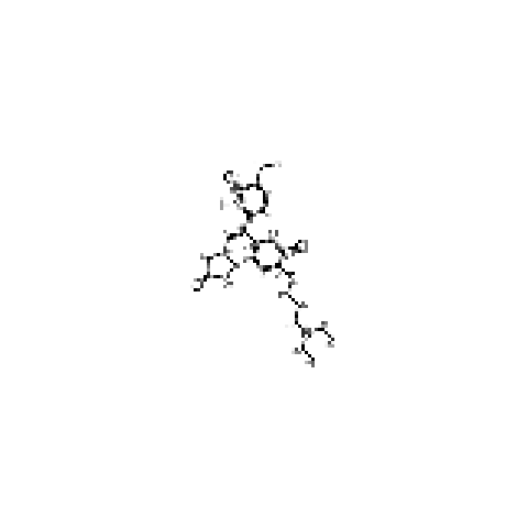 CCc1ccc(/C(=C/[C@H]2CCC(=O)C2)c2ccc(SCCCN(CC)CC)c(Cl)c2)[nH]c1=O